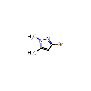 Cc1cc(Br)nn1C